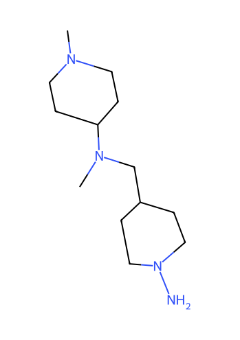 CN1CCC(N(C)CC2CCN(N)CC2)CC1